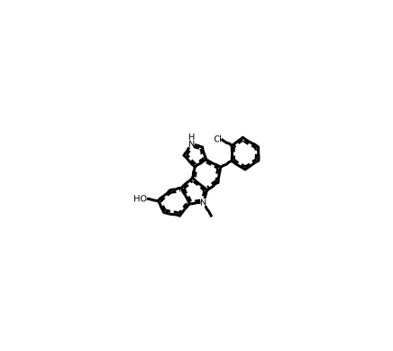 Cn1c2ccc(O)cc2c2c3c[nH]cc3c(-c3ccccc3Cl)cc21